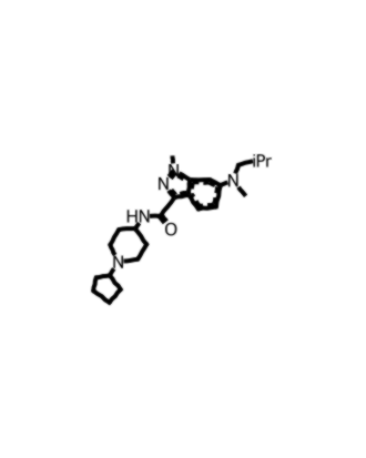 CC(C)CN(C)c1ccc2c(C(=O)NC3CCN(C4CCCC4)CC3)nn(C)c2c1